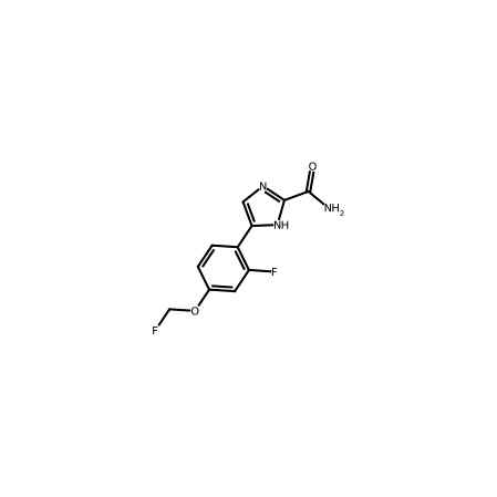 NC(=O)c1ncc(-c2ccc(OCF)cc2F)[nH]1